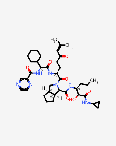 CCC[C@H](NC(=O)C1[C@H]2CCC[C@H]2CN1C(=O)[C@H](CCC(=O)C=C(C)C)NC(=O)[C@@H](NC(=O)c1cnccn1)C1CCCCC1)C(O)C(=O)NC1CC1